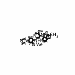 COc1cc(N2CCOCC2)ccc1Nc1cc(Nc2cccc3c2C(=O)N(C)C3)c(C(F)(F)F)cn1